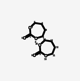 O=C1OCCCCO1.O=C1OCCCCO1